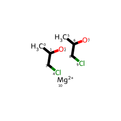 CC([O-])CCl.CC([O-])CCl.[Mg+2]